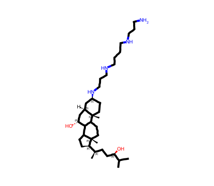 CC(C)[C@H](O)CC[C@@H](C)[C@H]1CCC2C3C(CC[C@@]21C)[C@@]1(C)CC[C@H](NCCCNCCCCNCCCN)C[C@@H]1C[C@H]3O